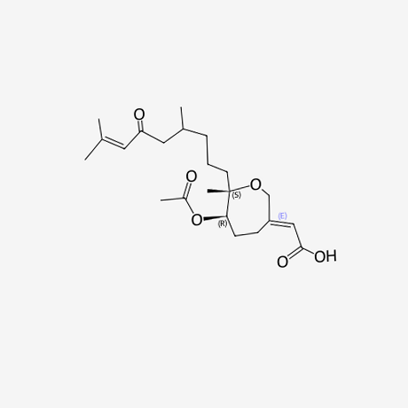 CC(=O)O[C@@H]1CC/C(=C\C(=O)O)CO[C@@]1(C)CCCC(C)CC(=O)C=C(C)C